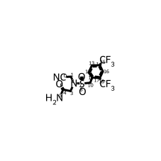 N#CCN(CC(N)=O)S(=O)(=O)Cc1ccc(C(F)(F)F)cc1C(F)(F)F